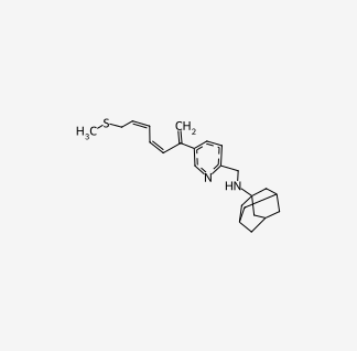 C=C(/C=C\C=C/CSC)c1ccc(CNC23CC4CC(CC(C4)C2)C3)nc1